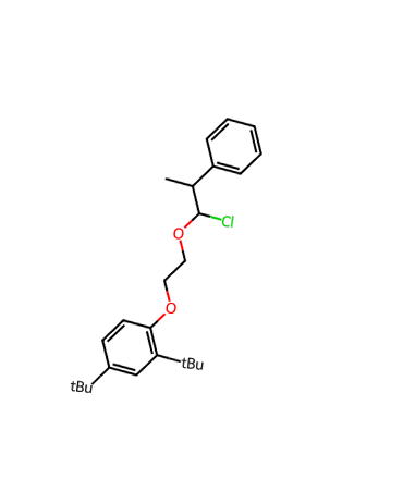 CC(c1ccccc1)C(Cl)OCCOc1ccc(C(C)(C)C)cc1C(C)(C)C